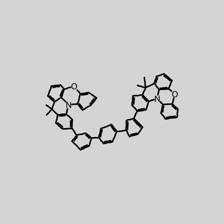 CC1(C)c2ccc(-c3cccc(-c4ccc(-c5cccc(-c6ccc7c(c6)N6c8ccccc8Oc8cccc(c86)C7(C)C)c5)cc4)c3)cc2N2c3ccccc3Oc3cccc1c32